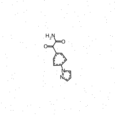 NC(=O)C(=O)c1ccc(-n2cccn2)cc1